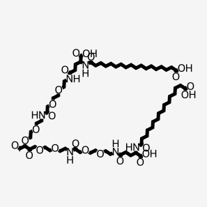 O=[C]C(OCCOCCNC(=O)COCCOCCNC(=O)CCC(NC(=O)CCCCCCCCCCCCCCCCC(=O)O)C(=O)O)C(=O)COCCOCCNC(=O)COCCOCCNC(=O)CCC(NC(=O)CCCCCCCCCCCCCCC(=O)O)C(=O)O